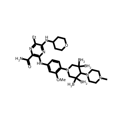 BC1(B)CN(c2ccc(Nc3nc(NC4CCOCC4)c(CC)nc3C(N)=O)cc2OC)CC(B)(B)C1N1CCN(C)CC1